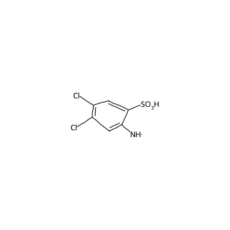 [NH]c1cc(Cl)c(Cl)cc1S(=O)(=O)O